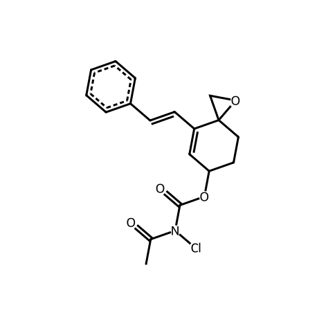 CC(=O)N(Cl)C(=O)OC1C=C(C=Cc2ccccc2)C2(CC1)CO2